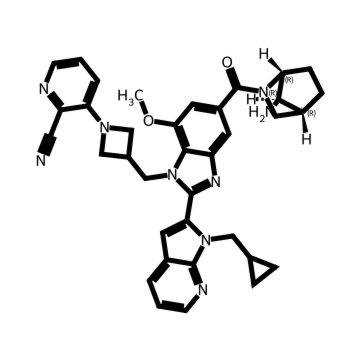 COc1cc(C(=O)N2C[C@H]3CC[C@@H]2[C@@H]3N)cc2nc(-c3cc4cccnc4n3CC3CC3)n(CC3CN(c4cccnc4C#N)C3)c12